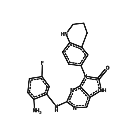 Nc1ccc(F)cc1Nc1ncc2[nH]c(=O)n(-c3ccc4c(c3)CCCN4)c2n1